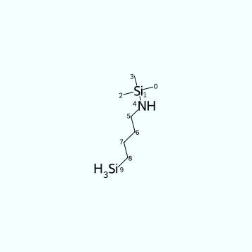 C[Si](C)(C)NCCCC[SiH3]